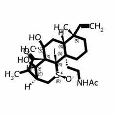 C=C[C@]1(C)CCC[C@]2(CCNC(C)=O)[C@@H]1C[C@](C)(O)[C@]13C(=O)C(C)[C@H](C[S@+]([O-])[C@@]21I)[C@H]3O